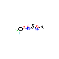 C[C@H]1C[C@@H]1c1nnc(C23CCC2C(NC(=O)COc2ccc(Cl)c(F)c2)C3)o1